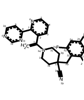 C=C(c1cccnc1-c1ccncn1)N1CCC(C#N)(Cc2c(F)cc(F)cc2F)CC1